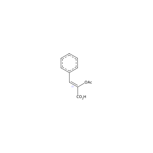 CC(=O)O/C(=C\c1ccccc1)C(=O)O